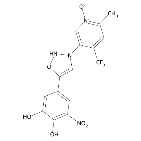 Cc1cc(C(F)(F)F)c(N2C=C(c3cc(O)c(O)c([N+](=O)[O-])c3)ON2)c[n+]1[O-]